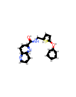 O=C(NCc1ccc(Oc2ccccc2)s1)c1ccc2ncccc2n1